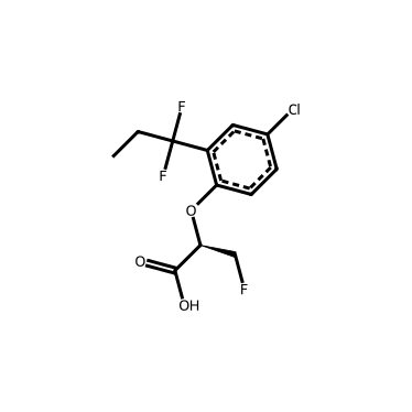 CCC(F)(F)c1cc(Cl)ccc1O[C@@H](CF)C(=O)O